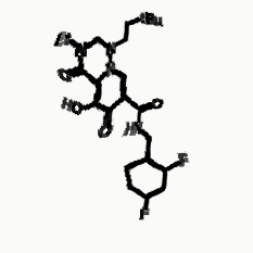 CCN1CN(CCC(C)(C)C)n2cc(C(=O)NCC3CCC(F)CC3F)c(=O)c(O)c2C1=O